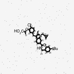 Cc1c(Cc2ccc(Cl)c(O[C@H](C)C(=O)O)c2)c2ccc(C(=O)N[C@@H](C)c3ccc(C(C)(C)C)cc3)cc2n1CC1CC1